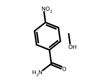 CO.NC(=O)c1ccc([N+](=O)[O-])cc1